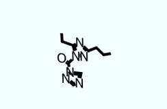 CCCc1nc(CC)n(C(=O)n2cncn2)n1